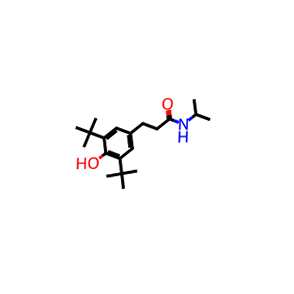 CC(C)NC(=O)CCc1cc(C(C)(C)C)c(O)c(C(C)(C)C)c1